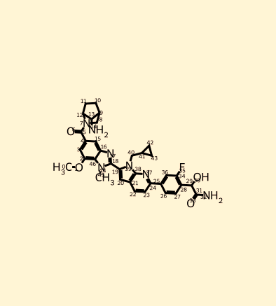 COc1cc(C(=O)N2CC3CCC2C3N)cc2nc(-c3cc4ccc(-c5ccc(C(O)C(N)=O)c(F)c5)nc4n3CC3CC3)n(C)c12